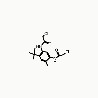 Cc1cc(C(C)(C)C)c(NC(=O)CCl)cc1NC(=O)CCl